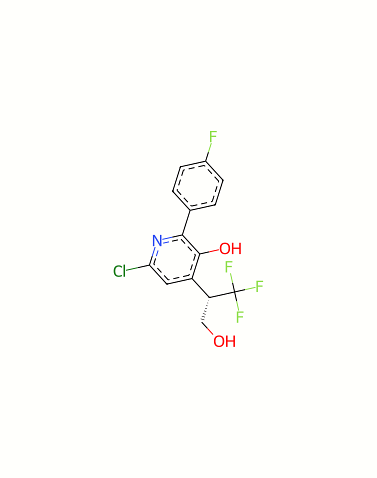 OC[C@H](c1cc(Cl)nc(-c2ccc(F)cc2)c1O)C(F)(F)F